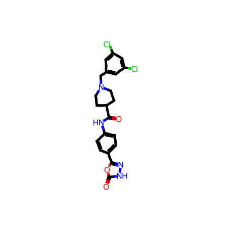 O=C(Nc1ccc(-c2n[nH]c(=O)o2)cc1)C1CCN(Cc2cc(Cl)cc(Cl)c2)CC1